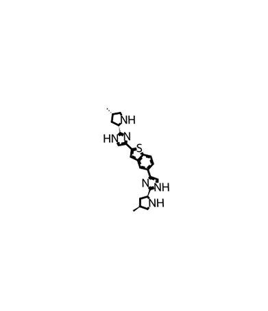 C[C@@H]1CN[C@H](c2nc(-c3ccc4sc(-c5c[nH]c([C@@H]6C[C@H](C)CN6)n5)cc4c3)c[nH]2)C1